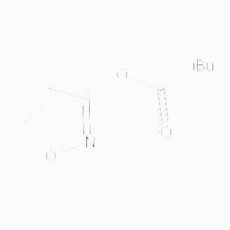 CCC(C)C(=O)Oc1ccon1